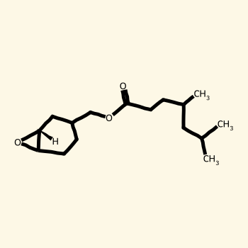 CC(C)CC(C)CCC(=O)OCC1CCC2O[C@@H]2C1